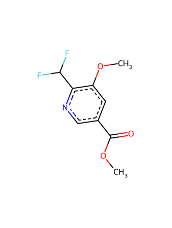 COC(=O)c1cnc(C(F)F)c(OC)c1